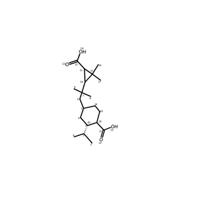 CC(C)[C@@H]1CC(CC(C)(C)C2C(C(=O)O)C2(C)C)CCC1C(=O)O